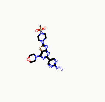 CS(=O)(=O)N1CCN(c2nc3nc(-c4cnc(N)nc4)nc(N4CCOCC4)c3s2)CC1